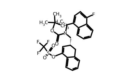 C[C@H](c1ccc(F)c2ccccc12)N(C[C@H]1C=C(OS(=O)(=O)C(F)(F)F)c2ccccc2C1)C(=O)OC(C)(C)C